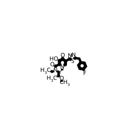 CCN1C(=O)c2c(O)c(=O)c(-c3nnc(Cc4ccc(F)cc4)s3)cn2C[C@@H]1[C@H](C)OC